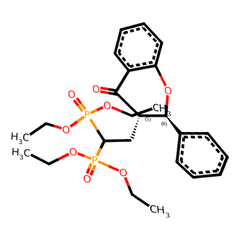 CCOP(=O)(OCC)C(C[C@@H]1C(=O)c2ccccc2O[C@H]1c1ccccc1)P(=O)(OCC)OCC